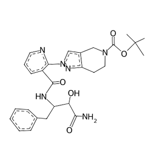 CC(C)(C)OC(=O)N1CCc2nn(-c3ncccc3C(=O)NC(Cc3ccccc3)C(O)C(N)=O)cc2C1